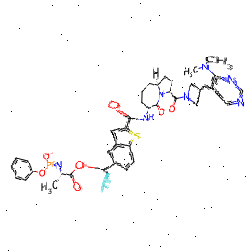 C[C@H](N=[P+]([O-])Oc1ccccc1)C(=O)O[C@H](F)c1ccc2sc(C(=O)N[C@H]3CCC[C@H]4CC[C@@H](C(=O)N5CC(c6cncnc6N(C)C)C5)N4C3=O)cc2c1